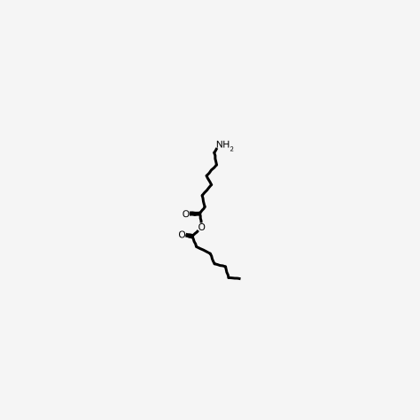 CCCCCCC(=O)OC(=O)CCCCCCN